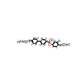 CCCCCCCCCCc1ccc(OC(=O)c2ccc(-c3ccc(CCCCCCC)cc3)cc2)c(F)c1F